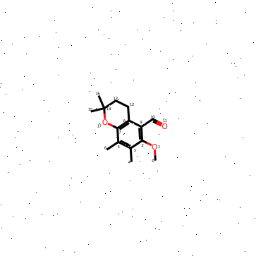 COc1c(C)c(C)c2c(c1C=O)CCC(C)(C)O2